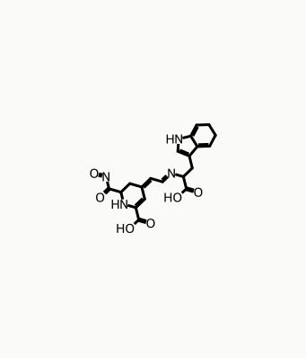 O=NC(=O)C1C/C(=C/C=N/C(Cc2c[nH]c3c2=CCCC=3)C(=O)O)C=C(C(=O)O)N1